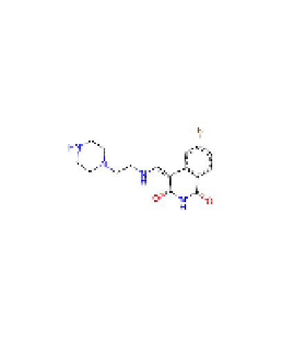 O=C1NC(=O)c2ccc(Br)cc2C1=CNCCN1CCNCC1